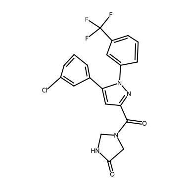 O=C1CN(C(=O)c2cc(-c3cccc(Cl)c3)n(-c3cccc(C(F)(F)F)c3)n2)CN1